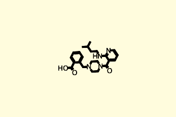 CC(C)CCNc1ncccc1C(=O)N1CCN(Cc2ccccc2C(=O)O)CC1